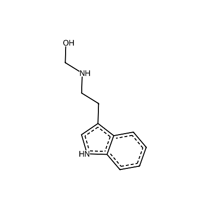 OCNCCc1c[nH]c2ccccc12